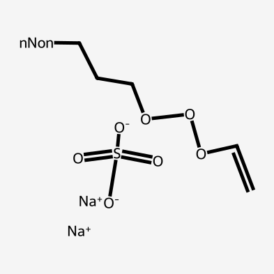 C=COOOCCCCCCCCCCCC.O=S(=O)([O-])[O-].[Na+].[Na+]